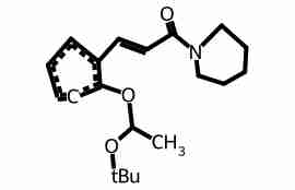 CC(Oc1ccccc1/C=C/C(=O)N1CCCCC1)OC(C)(C)C